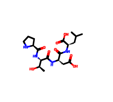 CC(C)C[C@H](NC(=O)[C@H](CC(=O)O)NC(=O)[C@@H](NC(=O)[C@@H]1CCCN1)[C@@H](C)O)C(=O)O